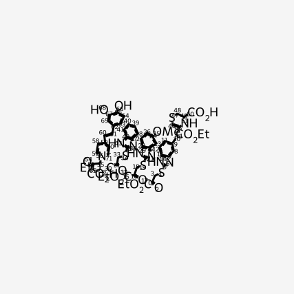 CCOC(=O)C(=O)CSc1nc2cc(C)ccc2[nH]1.CCOC(=O)C(=O)CSc1nc2cc(OC)ccc2[nH]1.CCOC(=O)C(=O)CSc1nc2ccccc2[nH]1.CCOC(=O)C1=CSCC(C(=O)O)N1.O=C(O)C(=O)C[n+]1ccc(C=Cc2ccc(O)c(O)c2)cc1